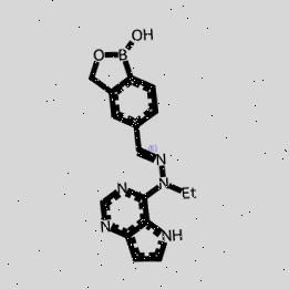 CCN(/N=C/c1ccc2c(c1)COB2O)c1ncnc2cc[nH]c12